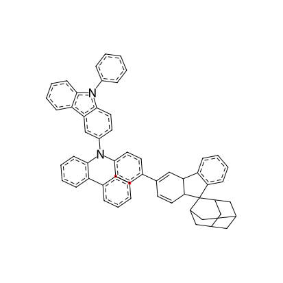 C1=CC2C(C=C1c1ccc(N(c3ccc4c(c3)c3ccccc3n4-c3ccccc3)c3ccccc3-c3ccccc3)cc1)c1ccccc1C21C2CC3CC(C2)CC1C3